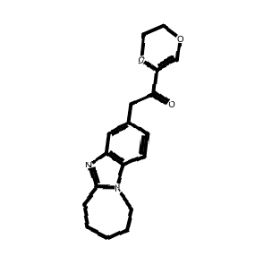 O=C(Cc1ccc2c(c1)nc1n2CCCCC1)C1=COCCO1